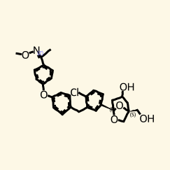 CO/N=C(/C)c1ccc(Oc2ccc(Cc3cc([C@]45CC(O)C[C@](CO)(CO4)O5)ccc3Cl)cc2)cc1